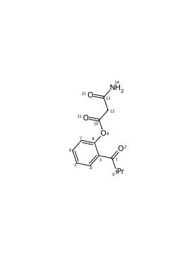 CC(C)C(=O)c1ccccc1OC(=O)CC(N)=O